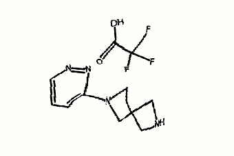 O=C(O)C(F)(F)F.c1cnnc(N2CC3(CNC3)C2)c1